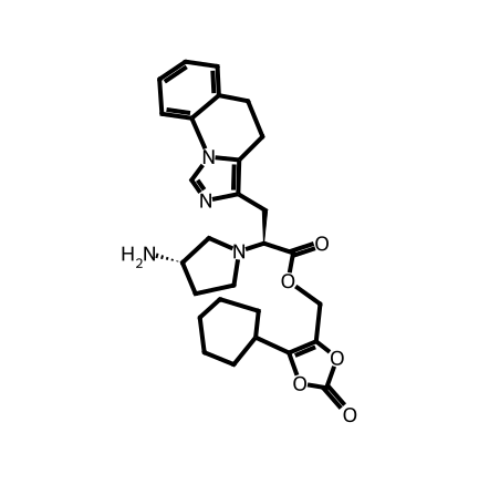 N[C@H]1CCN([C@@H](Cc2ncn3c2CCc2ccccc2-3)C(=O)OCc2oc(=O)oc2C2CCCCC2)C1